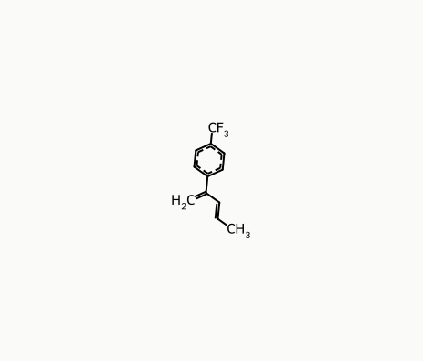 C=C(C=CC)c1ccc(C(F)(F)F)cc1